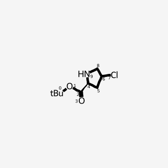 CC(C)(C)OC(=O)[C@@H]1CC(Cl)CN1